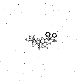 C[C@@H]1C(N=[N+]=[N-])[C@H](OC2C3COC(O3)[C@@H](C)[C@H]2C)OC(CO[Si](c2ccccc2)(c2ccccc2)C(C)(C)C)[C@H]1O